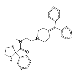 CN(CCN1CCC(=C(c2ccccc2)c2ccccc2)CC1)C(=O)C1(c2cccnc2)NCCS1